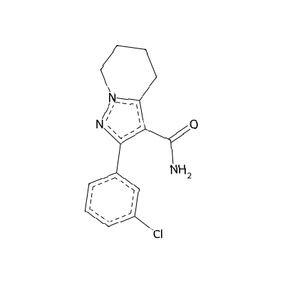 NC(=O)c1c(-c2cccc(Cl)c2)nn2c1CCCC2